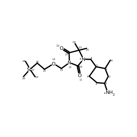 CC1CC(N)CCC1CN1C(=O)N(COCC[Si](C)(C)C)C(=O)C1(C)C